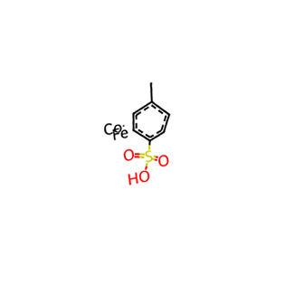 Cc1ccc(S(=O)(=O)O)cc1.[Co].[Fe]